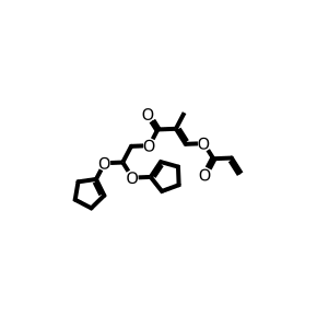 C=CC(=O)OC=C(C)C(=O)OCC(OC1=CCCC1)OC1=CCCC1